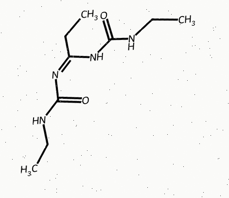 CCNC(=O)/N=C(/CC)NC(=O)NCC